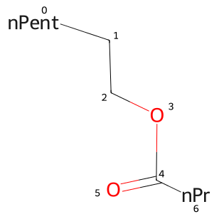 [CH2]CCCCCCOC(=O)CCC